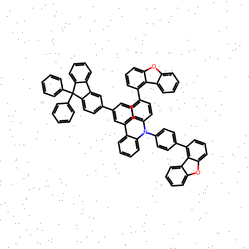 c1ccc(C2(c3ccccc3)c3ccccc3-c3cc(-c4cccc(-c5ccccc5N(c5ccc(-c6cccc7oc8ccccc8c67)cc5)c5ccc(-c6cccc7oc8ccccc8c67)cc5)c4)ccc32)cc1